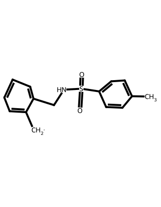 [CH2]c1ccccc1CNS(=O)(=O)c1ccc(C)cc1